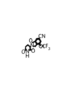 N#Cc1cc(OC(F)(F)F)c2c(c1)C(=O)N(C1CCC(=O)NC1=O)C2